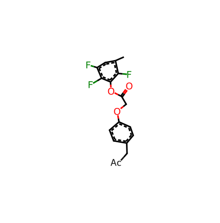 CC(=O)Cc1ccc(OCC(=O)Oc2c(F)c(C)cc(F)c2F)cc1